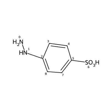 NNc1ccc(S(=O)(=O)O)cc1